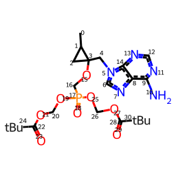 CC1CC1(Cn1cnc2c(N)ncnc21)OCP(=O)(OCOC(=O)C(C)(C)C)OCOC(=O)C(C)(C)C